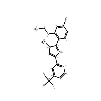 CCSc1cc(Br)cnc1-c1nc(-c2cc(C(F)(F)F)ccn2)cn1C